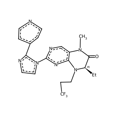 CC[C@@H]1C(=O)N(C)c2cnc(-n3ccnc3-c3ccncc3)nc2N1CCC(F)(F)F